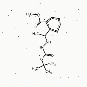 COC(=O)c1ccccc1C(C)NNC(=O)OC(C)(C)C